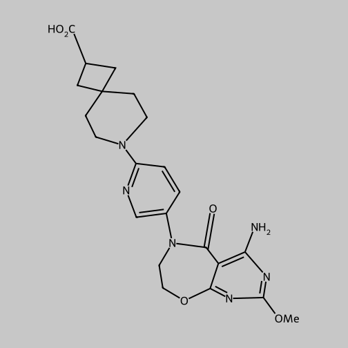 COc1nc(N)c2c(n1)OCCN(c1ccc(N3CCC4(CC3)CC(C(=O)O)C4)nc1)C2=O